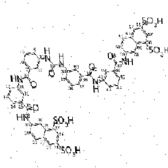 O=C(Nc1cccc(C(=O)Nc2cccc(C(=O)Nc3ccc4cc(S(=O)(=O)O)cc(S(=O)(=O)O)c4c3)c2)c1)Nc1cccc(C(=O)Nc2cccc(C(=O)Nc3ccc4cc(S(=O)(=O)O)cc(S(=O)(=O)O)c4c3)c2)c1